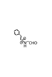 O=[C]CNS(=O)(=O)C=Cc1ccccc1